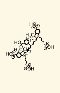 CC1(C)C(/C=C/C=C(/C=C/C=C2/N(CCCCS(=O)(=O)O)c3ccc(S(=O)(=O)O)cc3C2(C)C)c2cccc(C(=O)O)c2)=[N+](CCCCS(=O)(=O)O)c2ccc(S(=O)(=O)O)cc21